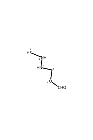 O=COCNNS